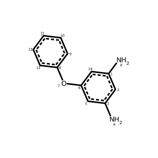 Nc1cc(N)cc(Oc2cc[c]cc2)c1